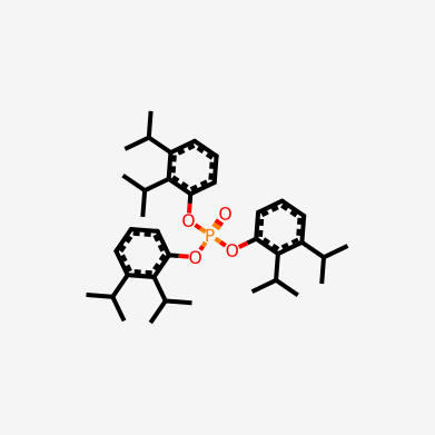 CC(C)c1cccc(OP(=O)(Oc2cccc(C(C)C)c2C(C)C)Oc2cccc(C(C)C)c2C(C)C)c1C(C)C